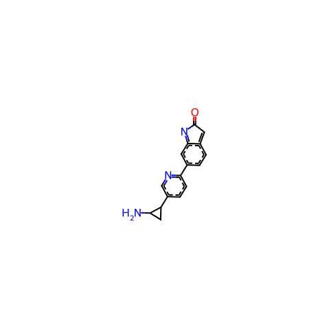 NC1CC1c1ccc(-c2ccc3c(c2)=NC(=O)C=3)nc1